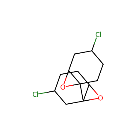 ClC1CCC2(C34CC(Cl)CCC3O4)OC2C1